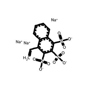 C=Cc1c(S(=O)(=O)[O-])c(S(=O)(=O)[O-])c(S(=O)(=O)[O-])c2ccccc12.[Na+].[Na+].[Na+]